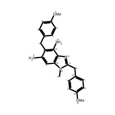 COc1ccc(Cc2c(N)cc3c(nc(Cc4ccc(OC)cc4)n3C)c2N)cc1